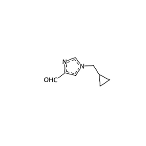 O=Cc1cn(CC2CC2)cn1